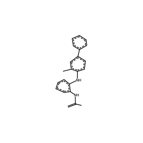 C=C(C)Nc1ccccc1Nc1ccc(-c2ccccc2)cc1C